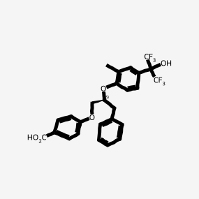 Cc1cc(C(O)(C(F)(F)F)C(F)(F)F)ccc1O[C@H](COc1ccc(C(=O)O)cc1)Cc1ccccc1